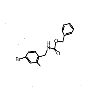 Cc1cc(Br)ccc1CNC(=O)OCc1ccccc1